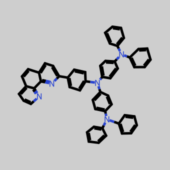 c1ccc(N(c2ccccc2)c2ccc(N(c3ccc(-c4ccc5ccc6cccnc6c5n4)cc3)c3ccc(N(c4ccccc4)c4ccccc4)cc3)cc2)cc1